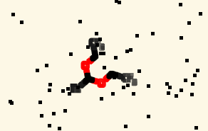 CCC(OCC(F)(F)F)OCC(F)(F)F